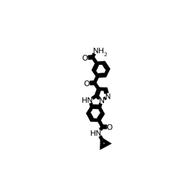 NC(=O)c1cccc(C(=O)c2cnn3c2[nH]c2ccc(C(=O)NC4CC4)cc23)c1